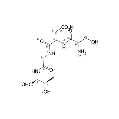 C[C@@H](O)[C@@H]([C]=O)NC(=O)CNC(=O)[C@H](CC(=O)O)NC(=O)[C@@H](N)CO